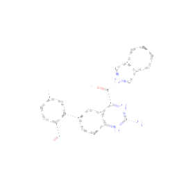 Nc1nc(C(=O)n2cc3ccccc3c2)c2cc(-c3cc(F)ccc3C=O)ccc2n1